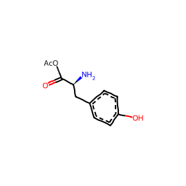 CC(=O)OC(=O)[C@@H](N)Cc1ccc(O)cc1